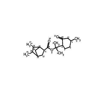 CC1CCC(C(C)(C)OC(=O)C2CC3CC2C(C)C3C)C(=O)C1